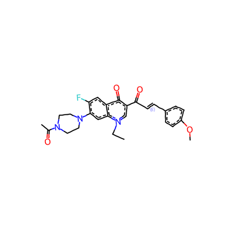 CCn1cc(C(=O)/C=C/c2ccc(OC)cc2)c(=O)c2cc(F)c(N3CCN(C(C)=O)CC3)cc21